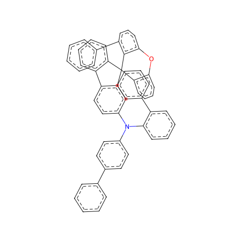 c1ccc(-c2ccc(N(c3ccc4c(c3)C3(c5ccccc5Oc5cccc(-c6ccccc6)c53)c3ccccc3-4)c3ccccc3-c3ccccc3)cc2)cc1